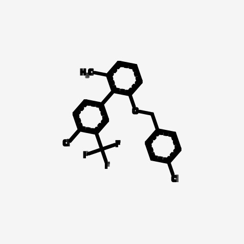 Cc1cccc(OCc2ccc(Cl)cc2)c1-c1ccc(Cl)c(C(F)(F)F)c1